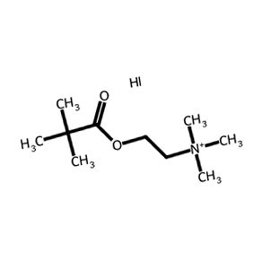 CC(C)(C)C(=O)OCC[N+](C)(C)C.I